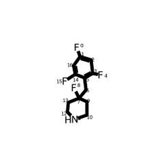 Fc1cc(F)c(CC2(F)CCNCC2)c(F)c1